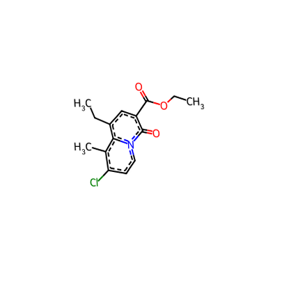 CCOC(=O)c1cc(CC)c2c(C)c(Cl)ccn2c1=O